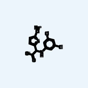 O=C([O-])C(Nc1cc(Cl)cc(Cl)c1)c1ccc(Cl)s1.[Na+]